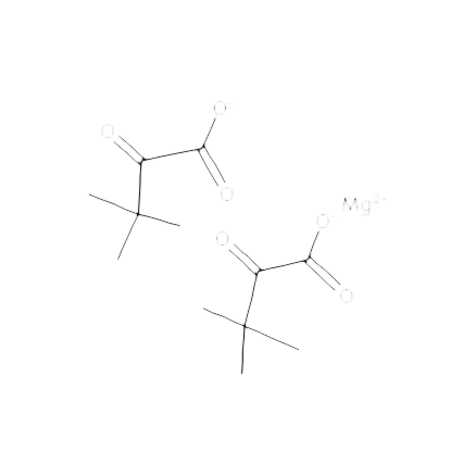 CC(C)(C)C(=O)C(=O)[O-].CC(C)(C)C(=O)C(=O)[O-].[Mg+2]